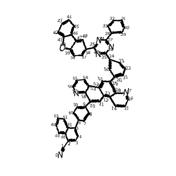 N#Cc1ccc(-c2ccc(-c3cc4c5cccnc5c(-c5cccc(-c6nc(-c7ccccc7)nc(-c7ccc8oc9ccccc9c8c7)n6)c5)cc4c4cccnc34)cc2)c2ccccc12